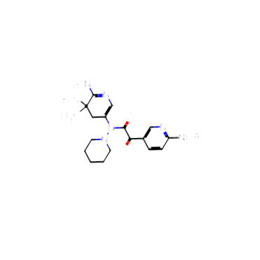 CC(=O)Nc1ccc(C(=O)C(=O)N(C2=CN=C(N)C(C)(C)C2)N2CCCCC2)cn1